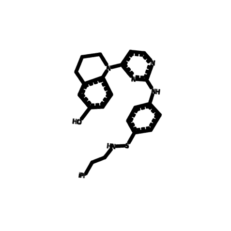 CC(C)CCNSc1ccc(Nc2nccc(N3CCCc4cc(O)ccc43)n2)cc1